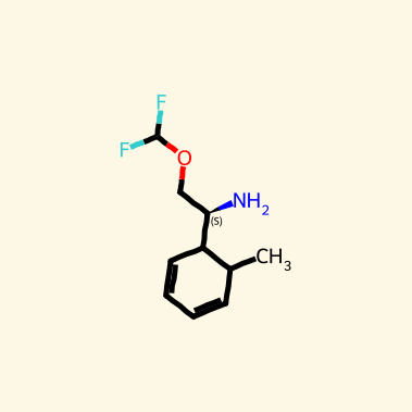 CC1C=CC=CC1[C@H](N)COC(F)F